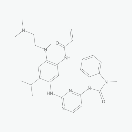 C=CC(=O)Nc1cc(Nc2nccc(-n3c(=O)n(C)c4ccccc43)n2)c(C(C)C)cc1N(C)CCN(C)C